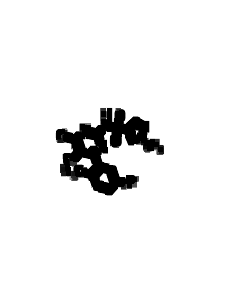 CCCc1ccc(C)c(-c2nc(NS(=O)(=O)c3cnn(C)c3)nc(Cl)c2Cl)c1